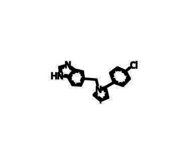 Clc1ccc(-c2c[c]cn2Cc2ccc3[nH]cnc3c2)cc1